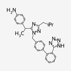 CC(C)Cc1nc(C(C)c2ccc(N)cc2)n(Cc2ccc(-c3ccccc3-c3nnn[nH]3)cc2)n1